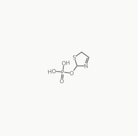 O=P(O)(O)OC1N=CCS1